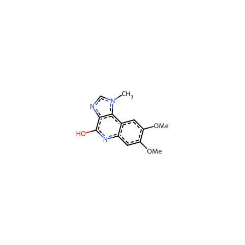 COc1cc2nc(O)c3ncn(C)c3c2cc1OC